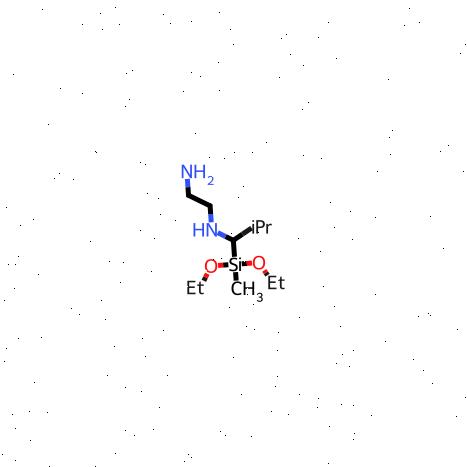 CCO[Si](C)(OCC)C(NCCN)C(C)C